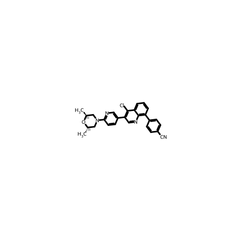 C[C@H]1CN(c2ccc(-c3cnc4c(-c5ccc(C#N)cc5)cccc4c3Cl)cn2)C[C@H](C)O1